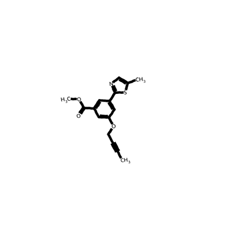 CC#CCOc1cc(C(=O)OC)cc(-c2ncc(C)s2)c1